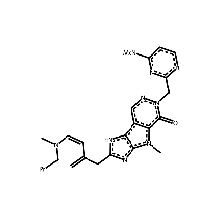 C=C(/C=C\N(C)CC(C)C)Cc1nc2c([nH]1)c1cnn(Cc3nccc(NC)n3)c(=O)c1n2C